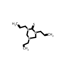 C=CCN1CN(CC=C)C(=S)N(CC=C)C1